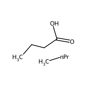 CCCC.CCCC(=O)O